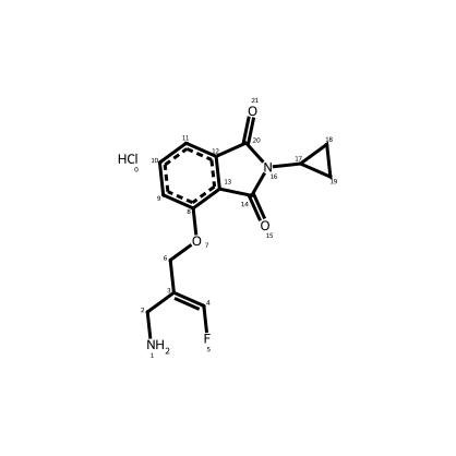 Cl.NCC(=CF)COc1cccc2c1C(=O)N(C1CC1)C2=O